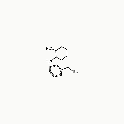 CC1CCCCC1N.NCc1ccccc1